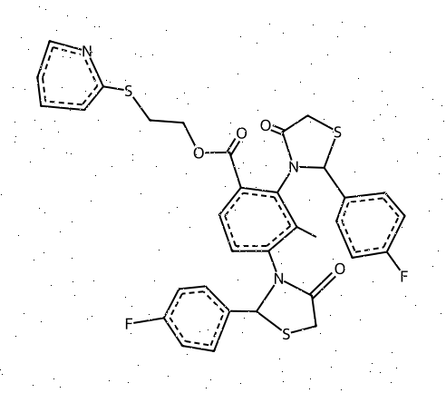 Cc1c(N2C(=O)CSC2c2ccc(F)cc2)ccc(C(=O)OCCSc2ccccn2)c1N1C(=O)CSC1c1ccc(F)cc1